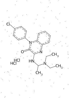 CCN(CC)C(C)Nc1nc2ccccc2n(-c2ccc(Cl)cc2)c1=O.Cl.Cl